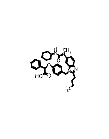 CCCCc1nc2ccc(N(C)C(=O)NC3CCCCC3)cc2n1Cc1ccc(OC(C(=O)O)c2ccccc2)cc1